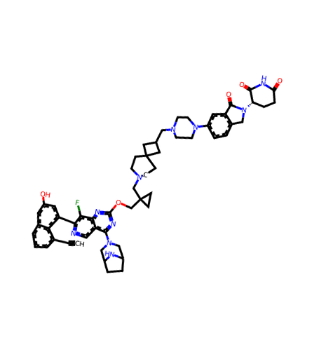 C#Cc1cccc2cc(O)cc(-c3ncc4c(N5CC6CCC(C5)N6)nc(OCC5(CN6CCC7(CC6)CC(CN6CCN(c8ccc9c(c8)C(=O)N([C@H]8CCC(=O)NC8=O)C9)CC6)C7)CC5)nc4c3F)c12